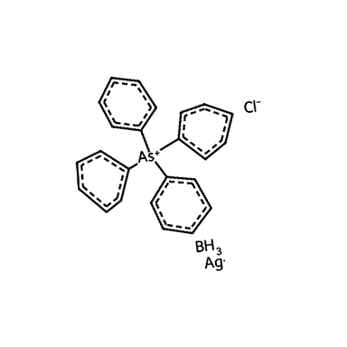 B.[Ag].[Cl-].c1ccc([As+](c2ccccc2)(c2ccccc2)c2ccccc2)cc1